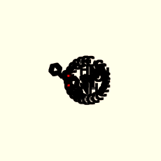 O=C(Nc1nc(C(=O)NC2CN3CCCCCCCCCCCCCCCCCCCCCC2CC3)cs1)c1ccc(OCc2ccccc2)cc1